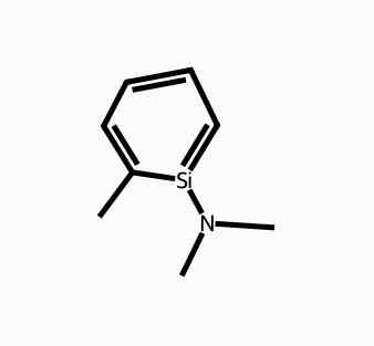 Cc1cccc[si]1N(C)C